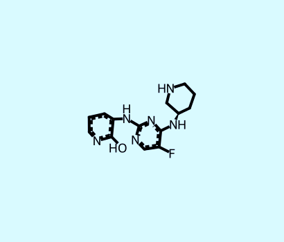 Oc1ncccc1Nc1ncc(F)c(N[C@@H]2CCCNC2)n1